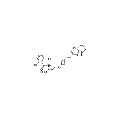 O=C(NC(CCOC1CC(CCc2ccc3c(n2)NCCC3)C1)C(=O)O)c1c(Cl)cncc1Br